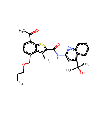 CCCOCc1ccc(C(C)=O)c2sc(C(=O)Nc3cc(C(C)(C)O)c4ccccc4n3)c(C)c12